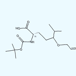 C=CCOC(CC[C@H](NC(=O)OC(C)(C)C)C(=O)O)C(C)C